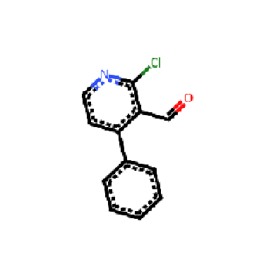 O=Cc1c(-c2ccccc2)ccnc1Cl